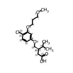 COCCCOc1cc(OC[C@H](CC(=O)O)C(C)C)ccc1Cl